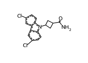 NC(=O)C1CC(n2c3ccc(Cl)cc3c3cc(Cl)ccc32)C1